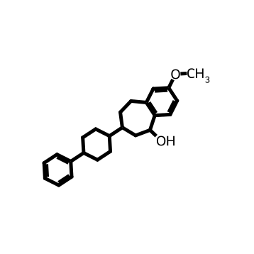 COc1ccc2c(c1)CCC(C1CCC(c3ccccc3)CC1)CC2O